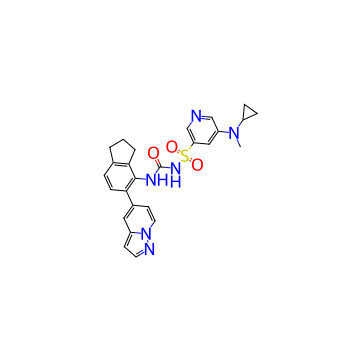 CN(c1cncc(S(=O)(=O)NC(=O)Nc2c(-c3ccn4nccc4c3)ccc3c2CCC3)c1)C1CC1